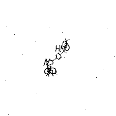 C[C@@H](NC(=O)OC(C)(C)C)c1ccc(-c2cncc(B3OC(C)(C)C(C)(C)O3)c2)cc1